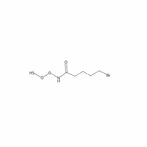 O=C(CCCCBr)NOOS